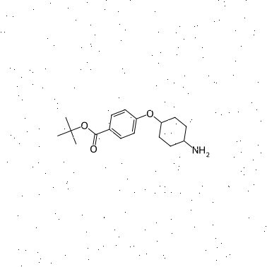 CC(C)(C)OC(=O)c1ccc(OC2CCC(N)CC2)cc1